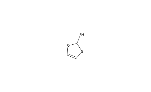 SC1SC=CS1